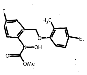 CCc1ccc(OCc2cc(F)ccc2N(O)C(=O)OC)c(C)c1